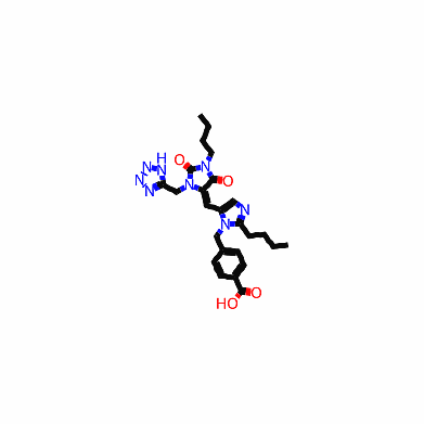 CCCCc1ncc(/C=C2\C(=O)N(CCCC)C(=O)N2Cc2nnn[nH]2)n1Cc1ccc(C(=O)O)cc1